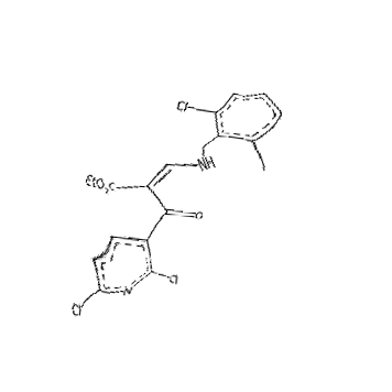 CCOC(=O)C(=CNc1c(C)cccc1Cl)C(=O)c1ccc(Cl)nc1Cl